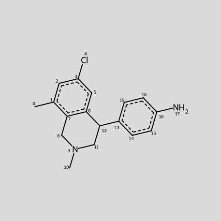 Cc1cc(Cl)cc2c1CN(C)CC2c1ccc(N)cc1